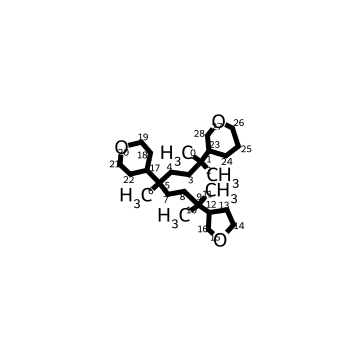 CC(C)(CCC(C)(CCC(C)(C)C1CCOC1)C1CCOCC1)C1CCCOC1